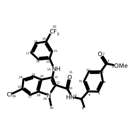 COC(=O)c1ccc(C(C)NC(=O)c2c(Nc3cccc(C(F)(F)F)c3)c3ccc(Cl)cc3n2C)cc1